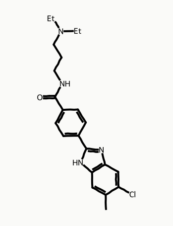 CCN(CC)CCCNC(=O)c1ccc(-c2nc3cc(Cl)c(C)cc3[nH]2)cc1